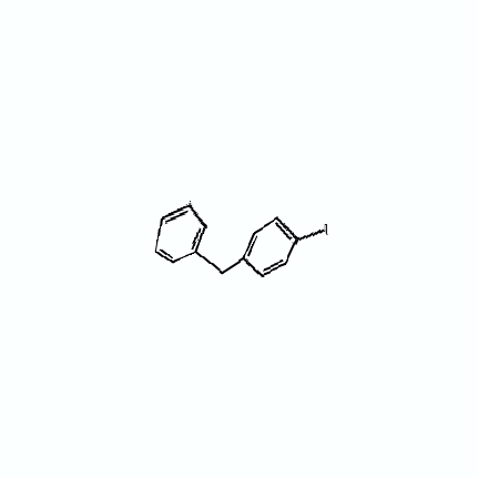 Ic1ccc(Cc2c[c]ccc2)cc1